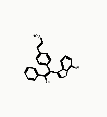 CC/C(=C(/c1ccc(/C=C/C(=O)O)cc1)c1coc2c(O)cccc12)c1ccccc1